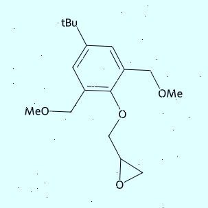 COCc1cc(C(C)(C)C)cc(COC)c1OCC1CO1